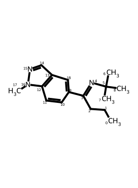 CCCC(=NC(C)(C)C)c1ccc2c(cnn2C)c1